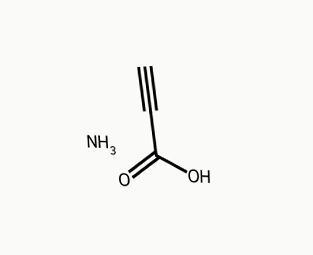 C#CC(=O)O.N